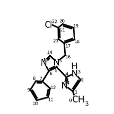 Cc1c[nH]c(-c2c(-c3ccccc3)ncn2Cc2cccc(Cl)c2)n1